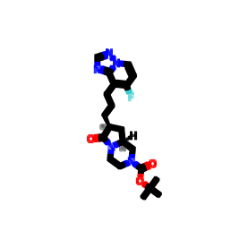 CC(C)(C)OC(=O)N1CCN2C(=O)[C@@H](CCCc3c(F)ccn4ncnc34)C[C@H]2C1